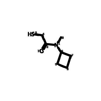 CN(C(=O)CS)C1CCC1